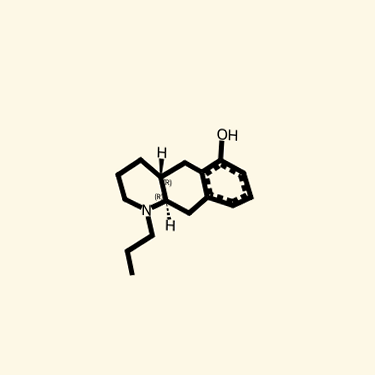 CCCN1CCC[C@@H]2Cc3c(O)cccc3C[C@H]21